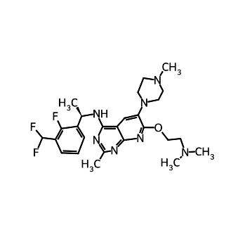 Cc1nc(N[C@H](C)c2cccc(C(F)F)c2F)c2cc(N3CCN(C)CC3)c(OCCN(C)C)nc2n1